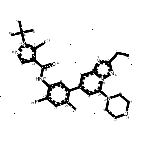 CCc1nc2cc(-c3cc(NC(=O)c4cnn(C(C)(C)C)c4F)c(F)cc3C)cc(N3CCOCC3)n2n1